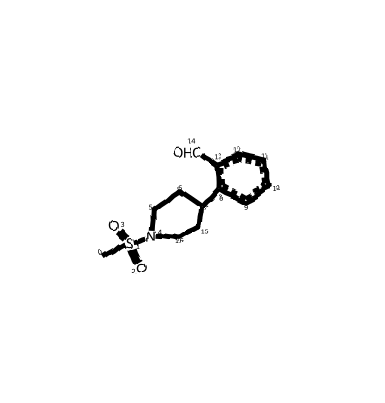 CS(=O)(=O)N1CCC(c2ccccc2C=O)CC1